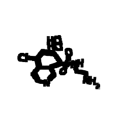 Cl.Cl.NCCNS(=O)(=O)c1ccc(Cl)c2ccncc12